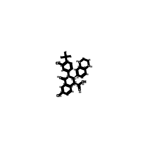 CC(C)(C)c1ccc(N2C(=O)c3cc(Cl)ccc3[C@H](C(=O)O)[C@H]2c2ccc3c(c2)OCCO3)cc1Cl